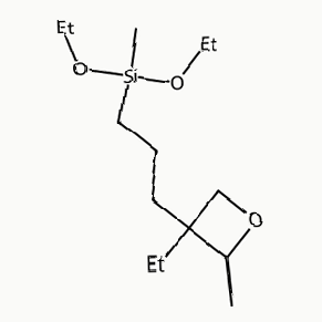 CCO[Si](C)(CCCC1(CC)COC1C)OCC